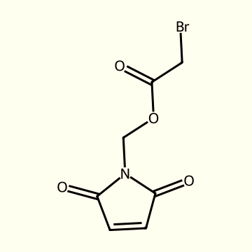 O=C(CBr)OCN1C(=O)C=CC1=O